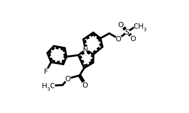 CCOC(=O)c1cc2cc(COS(C)(=O)=O)ccn2c1-c1cccc(F)c1